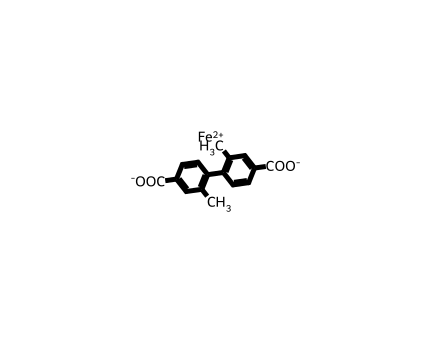 Cc1cc(C(=O)[O-])ccc1-c1ccc(C(=O)[O-])cc1C.[Fe+2]